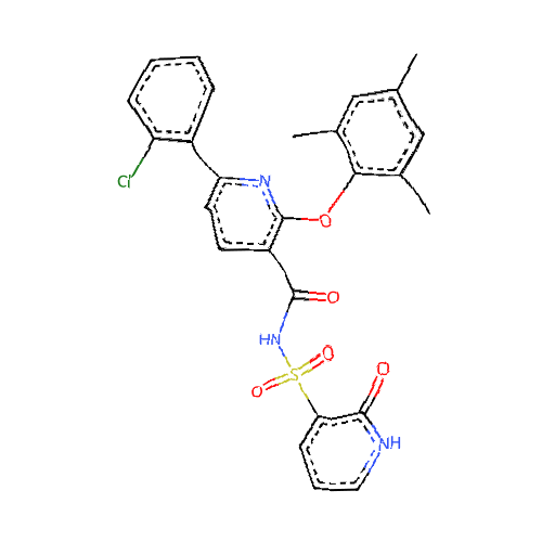 Cc1cc(C)c(Oc2nc(-c3ccccc3Cl)ccc2C(=O)NS(=O)(=O)c2ccc[nH]c2=O)c(C)c1